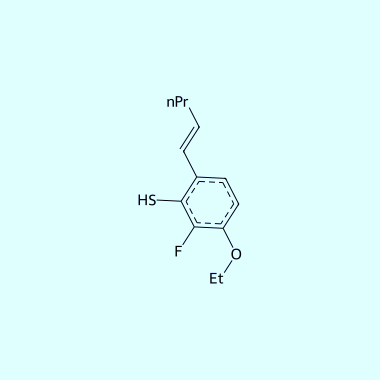 CCC/C=C/c1ccc(OCC)c(F)c1S